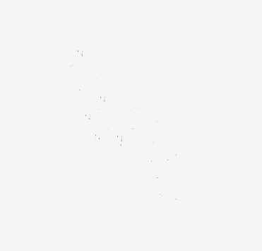 C[Si](C)(COc1cccc(-c2cn(C3CC(CN)C3)c3ncnc(N)c23)c1)c1ccccc1